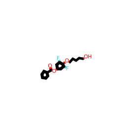 O=C(Oc1cc(F)c(OCCCCCO)c(F)c1)c1ccccc1